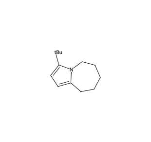 CC(C)(C)c1ccc2n1CCCCC2